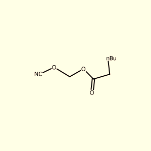 CCCCCC(=O)OCOC#N